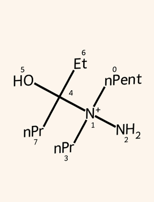 CCCCC[N+](N)(CCC)C(O)(CC)CCC